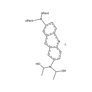 CCCCCN(CCCCC)c1ccc2nc3ccc(N(C(C)O)C(C)O)cc3[s+]c2c1.[I-]